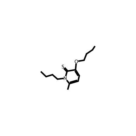 CCCCOc1ccc(C)n(CCCC)c1=S